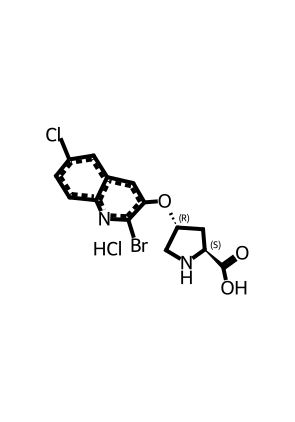 Cl.O=C(O)[C@@H]1C[C@@H](Oc2cc3cc(Cl)ccc3nc2Br)CN1